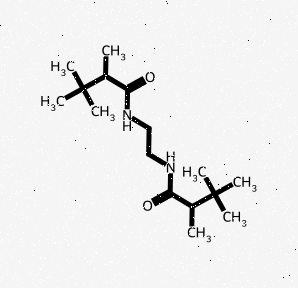 CC(C(=O)NCCNC(=O)C(C)C(C)(C)C)C(C)(C)C